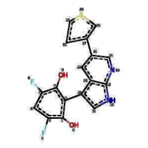 Oc1c(F)cc(F)c(O)c1-c1c[nH]c2ncc(-c3ccsc3)cc12